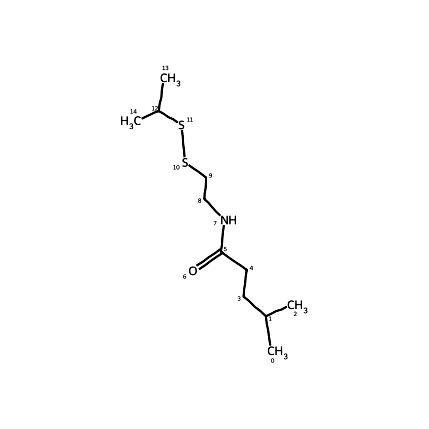 CC(C)CCC(=O)NCCSSC(C)C